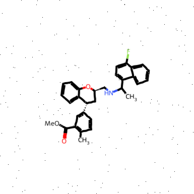 COC(=O)c1cc([C@H]2C[C@H](CNC(C)c3ccc(F)c4ccccc34)Oc3ccccc32)ccc1C